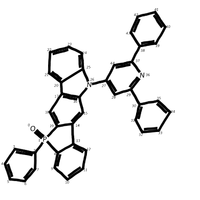 O=P1(c2ccccc2)c2ccccc2-c2cc3c(cc21)c1ccccc1n3-c1cc(-c2ccccc2)nc(-c2ccccc2)c1